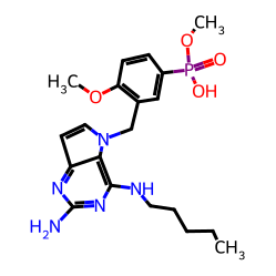 CCCCCNc1nc(N)nc2ccn(Cc3cc(P(=O)(O)OC)ccc3OC)c12